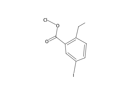 CCc1ccc(I)cc1C(=O)OCl